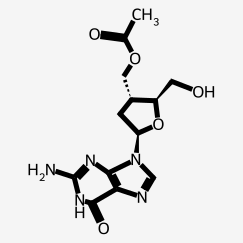 CC(=O)OC[C@H]1C[C@H](n2cnc3c(=O)[nH]c(N)nc32)O[C@@H]1CO